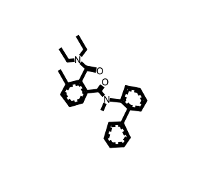 CCN(CC)C(=O)c1c(C)cccc1C(=O)N(C)c1ccccc1-c1ccccc1